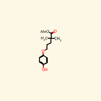 COC(=O)C(C)(C)CCCOc1ccc(O)cc1